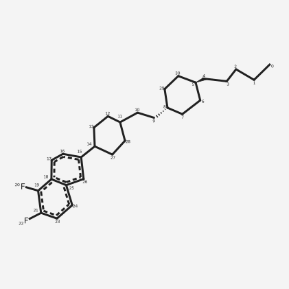 CCCCC[C@H]1CC[C@H](CCC2CCC(c3ccc4c(F)c(F)ccc4c3)CC2)CC1